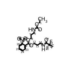 CCOC(=O)NCCCOC(OCCCNC(=O)C(F)(F)F)c1ccccc1[N+](=O)[O-]